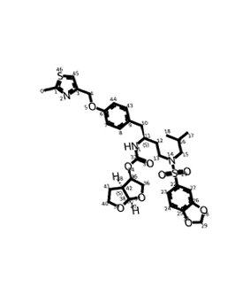 Cc1nc(COc2ccc(C[C@@H](CCN(CC(C)C)S(=O)(=O)c3ccc4c(c3)OCO4)NC(=O)O[C@H]3CO[C@H]4OCC[C@H]43)cc2)cs1